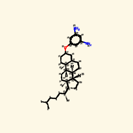 CC(C)CCC[C@@H](C)[C@H]1CC[C@H]2[C@@H]3CCC4CC(Oc5cc(N)cc(N)c5)CC[C@]4(C)[C@H]3CC[C@]12C